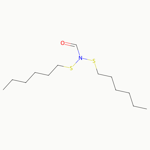 CCCCCCSN(C=O)SCCCCCC